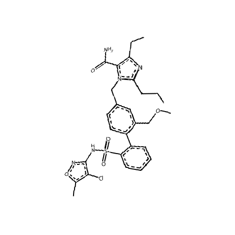 CCCc1nc(CC)c(C(N)=O)n1Cc1ccc(-c2ccccc2S(=O)(=O)Nc2noc(C)c2Cl)c(COC)c1